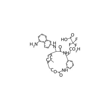 Cc1cc2ccc1CCOC(=O)Nc1cccc(c1)C(CC(=O)O)NC(=O)C2Nc1ccc2c(N)cccc2c1.O=C(O)C(F)(F)F